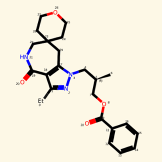 CCc1nn(C[C@@H](C)COC(=O)c2ccccc2)c2c1C(=O)NCC1(CCOCC1)C2